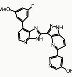 COc1cc(F)cc(-c2ccnc3[nH]c(-c4n[nH]c5ccc(-c6cncc(O)c6)nc45)nc23)c1